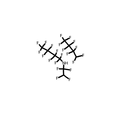 FC(F)C(F)(F)C(F)(F)C(F)(F)F.FC(F)C(F)(F)NC(F)(F)C(F)(F)C(F)(F)C(F)(F)F